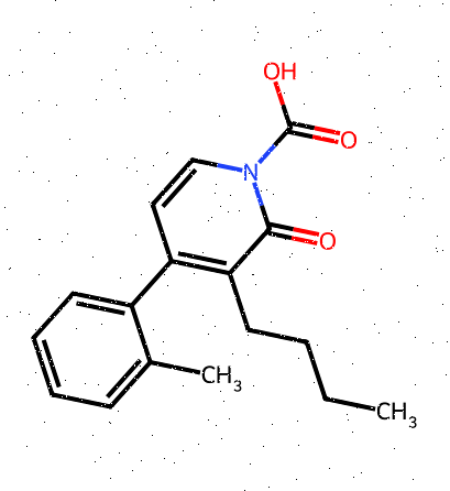 CCCCc1c(-c2ccccc2C)ccn(C(=O)O)c1=O